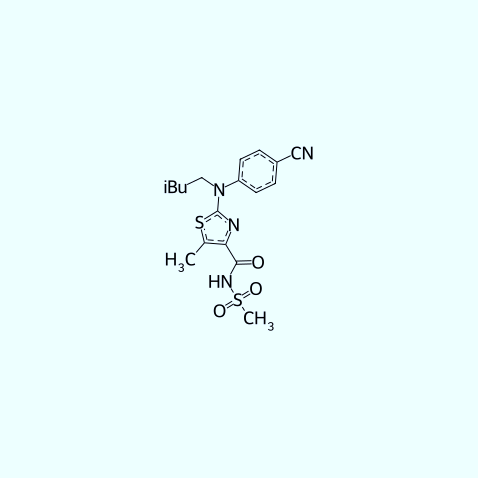 CCC(C)CN(c1ccc(C#N)cc1)c1nc(C(=O)NS(C)(=O)=O)c(C)s1